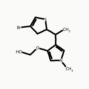 CC(c1cn(C)cc1OCO)C1CC(Br)=CS1